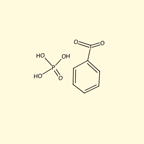 O=I(=O)c1ccccc1.O=P(O)(O)O